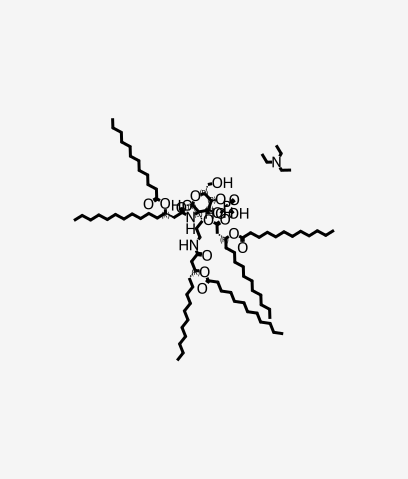 CCCCCCCCCCCC(=O)O[C@H](CCCCCCCCCCC)CC(=O)NCCC[C@]1(NC(=O)C[C@@H](CCCCCCCCCCC)OC(=O)CCCCCCCCCCC)[C@H](O)O[C@H](CO)[C@@H](OP(=O)(O)O)[C@]1(O)OC(=O)C[C@@H](CCCCCCCCCCC)OC(=O)CCCCCCCCCCC.CCN(CC)CC